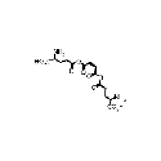 N[C@@H](CCC(=O)OC(=O)/C=C\C(=O)OC(=O)CC[C@H](N)C(=O)O)C(=O)O